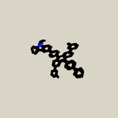 CCn1c2ccccc2c2cc(-c3ccc(-c4c5ccc(-c6cccc(C)c6)cc5c(-c5ccc(-c6ccccc6)cc5)c5ccc(-c6cccc(C)c6)cc45)cc3)ccc21